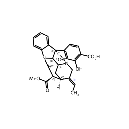 C/C=C1/CN2CC[C@]34c5ccccc5N5[C@H](C(=O)OC)[C@H]1C[C@H]2[C@@]53Oc1c4ccc(C(=O)O)c1O